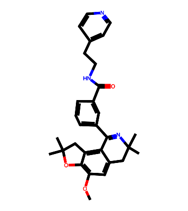 COc1cc2c(c3c1OC(C)(C)C3)C(c1cccc(C(=O)NCCc3ccncc3)c1)=NC(C)(C)C2